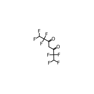 O=C(CC(=O)C(F)(F)C(F)F)C(F)(F)C(F)F